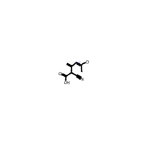 C=C(/C=C(\C)Cl)C(C#N)C(=O)O